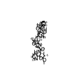 COC(=O)[C@@H](C)C[C@H](Cc1ncccn1)NC(=O)c1csc([C@@H](C[C@H](C(C)C)N(C)C(=O)C2(NC(=O)[C@H]3CC4CCN3CC4)CC2)OC(C)=O)n1